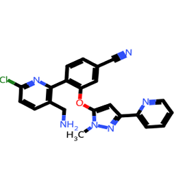 Cn1nc(-c2ccccn2)cc1Oc1cc(C#N)ccc1-c1nc(Cl)ccc1CN